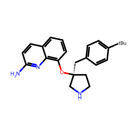 CC(C)(C)c1ccc(C[C@]2(Oc3cccc4ccc(N)nc34)CCNC2)cc1